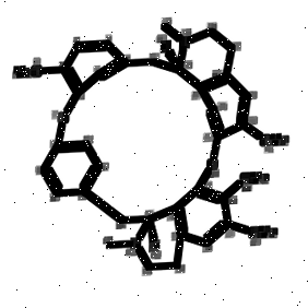 COc1ccc2cc1Oc1ccc(cc1)C[C@@H]1c3c(cc(OC)c(OC)c3Oc3cc4c(cc3OC)CCN(C)[C@H]4C2)CCN1C